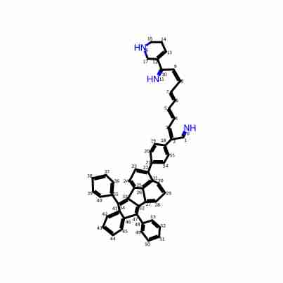 N=C\C(=C/C=C/C=C/C=C\C(=N)C1=CCCNC1)c1ccc(-c2ccc3c4c(cccc24)-c2c-3c(-c3ccccc3)c3ccccc3c2-c2ccccc2)cc1